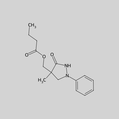 CCCC(=O)OCC1(C)CN(c2ccccc2)NC1=O